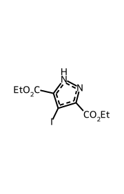 CCOC(=O)c1n[nH]c(C(=O)OCC)c1I